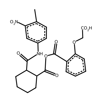 Cc1ccc(NC(=O)C2CCCCC2C(=O)OC(=O)c2ccccc2OCC(=O)O)cc1[N+](=O)[O-]